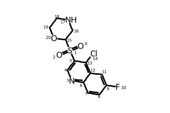 O=S(=O)(c1cnc2ccc(F)cc2c1Cl)C1CNCCO1